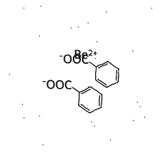 O=C([O-])c1ccccc1.O=C([O-])c1ccccc1.[Be+2]